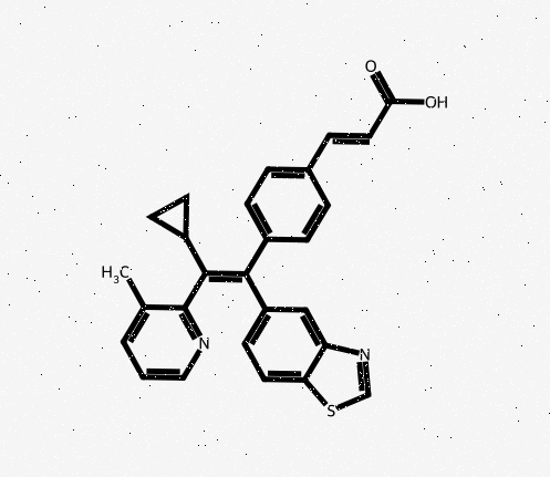 Cc1cccnc1C(=C(c1ccc(C=CC(=O)O)cc1)c1ccc2scnc2c1)C1CC1